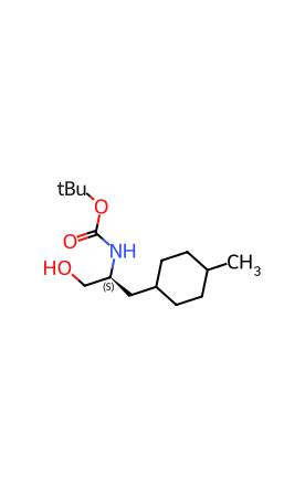 CC1CCC(C[C@@H](CO)NC(=O)OC(C)(C)C)CC1